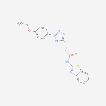 CCOc1ccc(-c2nnc(SCC(=O)Nc3nc4ccccc4s3)[nH]2)cc1